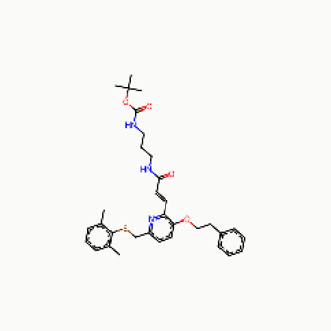 Cc1cccc(C)c1SCc1ccc(OCCc2ccccc2)c(C=CC(=O)NCCCNC(=O)OC(C)(C)C)n1